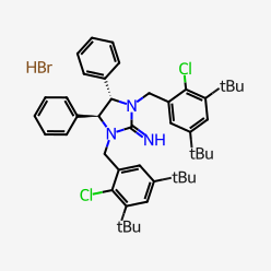 Br.CC(C)(C)c1cc(CN2C(=N)N(Cc3cc(C(C)(C)C)cc(C(C)(C)C)c3Cl)[C@@H](c3ccccc3)[C@@H]2c2ccccc2)c(Cl)c(C(C)(C)C)c1